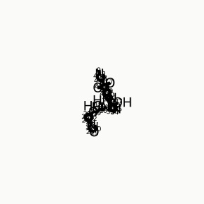 CN1CCC(N2C(=O)c3cc4nc(-c5c(NC[C@@H](O)COc6cccc(N7CCOCC7)c6)ccnc5O)[nH]c4cc3C2=O)CC1